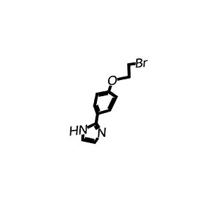 BrCCOc1ccc(-c2ncc[nH]2)cc1